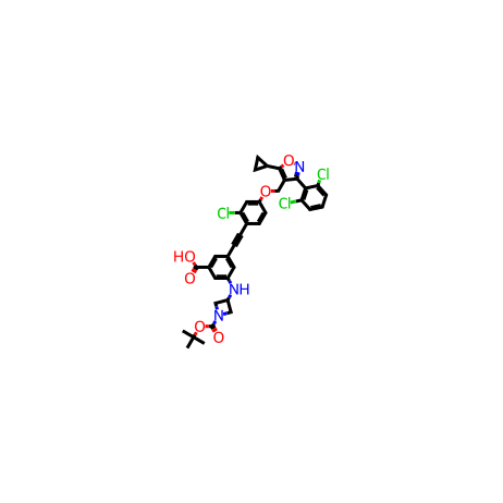 CC(C)(C)OC(=O)N1CC(Nc2cc(C#Cc3ccc(OCc4c(-c5c(Cl)cccc5Cl)noc4C4CC4)cc3Cl)cc(C(=O)O)c2)C1